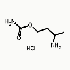 CC(N)CCOC(N)=O.Cl